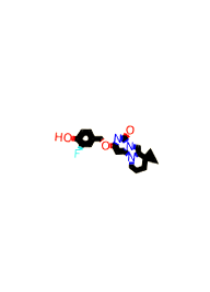 O=c1nc(OCc2ccc(O)c(F)c2)cc2n1CC1N2CCCC12CC2